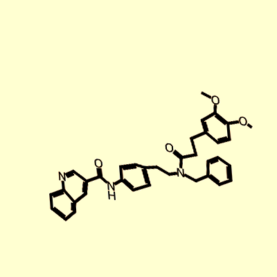 COc1ccc(CCC(=O)N(CCc2ccc(NC(=O)c3cnc4ccccc4c3)cc2)Cc2ccccc2)cc1OC